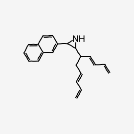 C=C/C=C/CC(/C=C/C=C)C1NC1c1ccc2ccccc2c1